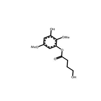 COc1cc(O)c(OC)c(OC(=O)CCCO)c1